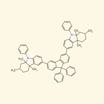 CC1CCC2(C)c3cc(-c4ccc5c(c4)-c4cc(-c6ccc7c(c6)C6(C)CCC(C)CC6(C)N7c6ccccc6)ccc4C5(c4ccccc4)c4ccccc4)ccc3N(c3ccccc3)C2(C)C1